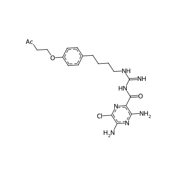 CC(=O)CCOc1ccc(CCCCNC(=N)NC(=O)c2nc(Cl)c(N)nc2N)cc1